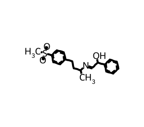 CC(CCc1ccc(S(C)(=O)=O)cc1)/N=C/C(O)c1ccccc1